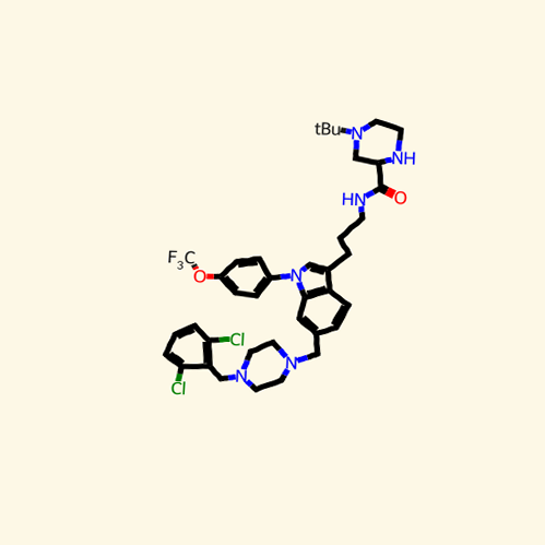 CC(C)(C)N1CCNC(C(=O)NCCCc2cn(-c3ccc(OC(F)(F)F)cc3)c3cc(CN4CCN(Cc5c(Cl)cccc5Cl)CC4)ccc23)C1